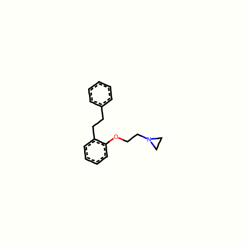 c1ccc(CCc2ccccc2OCCN2CC2)cc1